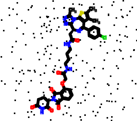 Cc1sc2c(c1C)C(c1ccc(Cl)cc1)=N[C@@H](CC(=O)NCCCCNC(=O)COc1cccc3c1C(=O)N([C@H]1CCC(=O)NC1=O)C3=O)c1nnc(C)n1-2